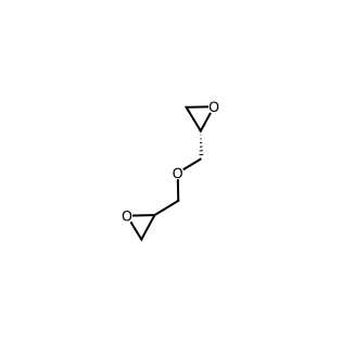 C(OC[C@@H]1CO1)C1CO1